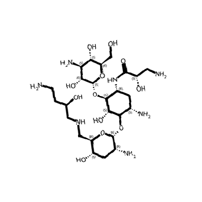 NCCC(O)CNC[C@H]1O[C@H](OC2[C@@H](N)C[C@@H](NC(=O)[C@@H](O)CN)[C@H](O[C@H]3O[C@H](CO)[C@@H](O)[C@H](N)[C@H]3O)[C@H]2O)[C@H](N)C[C@@H]1O